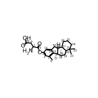 Cc1cc(OC(=O)C(N)CC(=O)O)cc2c1[C@]1(C)CCC3C(C)(C)CCC[C@]3(C)[C@H]1C2